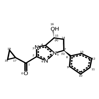 O=C(c1nc2n(n1)[C@H](c1ccccc1)C[C@H]2O)C1CC1